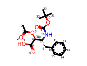 CC(=O)O[C@H](C(=O)O)[C@@H](Cc1ccccc1)NC(=O)OC(C)(C)C